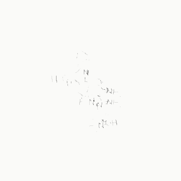 COc1cc(-c2ccccc2)nc2cc(-c3nn([C@H]4C[C@@](N)(O)C4)c(N)c3C(N)=O)c(F)cc12